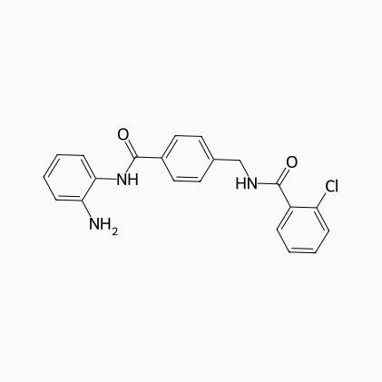 Nc1ccccc1NC(=O)c1ccc(CNC(=O)c2ccccc2Cl)cc1